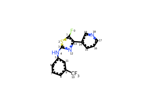 Fc1sc(Nc2cccc(C(F)(F)F)c2)nc1-c1cccnc1